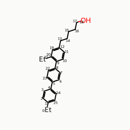 CCc1ccc(-c2ccc(-c3ccc(CCCCCO)cc3CC)cc2)cc1